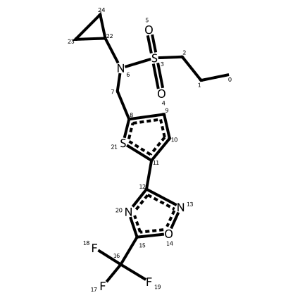 CCCS(=O)(=O)N(Cc1ccc(-c2noc(C(F)(F)F)n2)s1)C1CC1